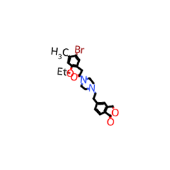 CCOc1cc(C)c(Br)cc1CC(=O)N1CCN(CCc2ccc3c(c2)COC3=O)CC1